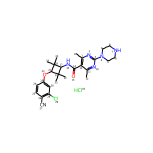 Cc1nc(N2CCNCC2)nc(C)c1C(=O)NC1C(C)(C)C(Oc2ccc(C#N)c(Cl)c2)C1(C)C.Cl